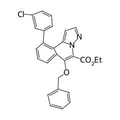 CCOC(=O)c1c(OCc2ccccc2)c2cccc(-c3cccc(Cl)c3)c2c2ccnn12